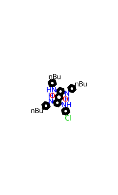 CCCCc1ccc(Nc2ccc(Nc3ccc(Cl)cc3)c3c2C(=O)c2c(Nc4ccc(CCCC)cc4)ccc(Nc4ccc(CCCC)cc4)c2C3=O)cc1